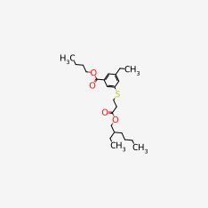 CCCCOC(=O)c1cc(CC)cc(SCCC(=O)OCC(CC)CCCC)c1